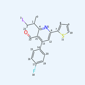 CC(CI)c1nc(-c2cccs2)cc(-c2ccc(F)cc2)c1C=O